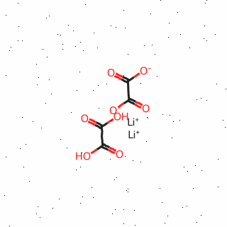 O=C(O)C(=O)O.O=C([O-])C(=O)[O-].[Li+].[Li+]